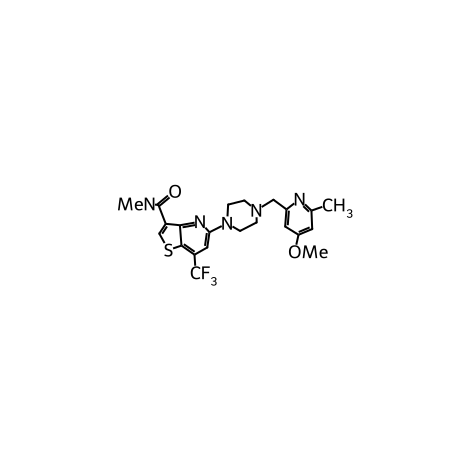 CNC(=O)c1csc2c(C(F)(F)F)cc(N3CCN(Cc4cc(OC)cc(C)n4)CC3)nc12